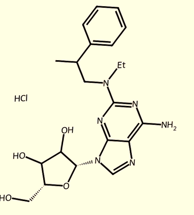 CCN(CC(C)c1ccccc1)c1nc(N)c2ncn([C@@H]3O[C@H](CO)C(O)C3O)c2n1.Cl